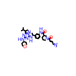 CC(C)c1cnn2c(NC(C)c3cccc(NC(=O)C4CCCN(C(=O)C=CCN(C)C)C4)c3)nc(NC3CCOCC3)nc12